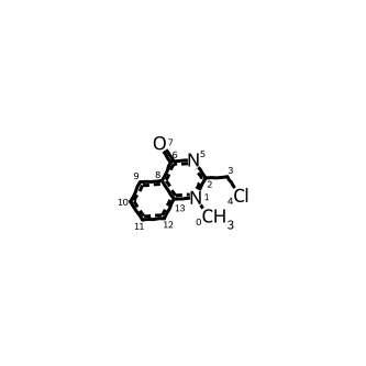 Cn1c(CCl)nc(=O)c2ccccc21